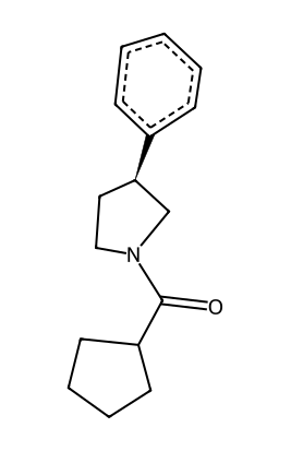 O=C(C1CCCC1)N1CC[C@@H](c2ccccc2)C1